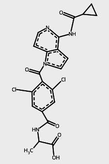 CC(NC(=O)c1cc(Cl)c(C(=O)n2ccc3c(NC(=O)C4CC4)nccc32)c(Cl)c1)C(=O)O